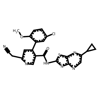 COc1ccc(Cl)cc1-c1cc(CC#N)ncc1C(=O)Nc1nc2ncc(C3CC3)nc2s1